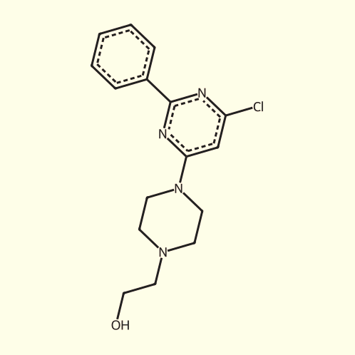 OCCN1CCN(c2cc(Cl)nc(-c3ccccc3)n2)CC1